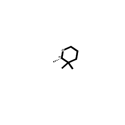 C[C@@H]1OCCCC1(C)C